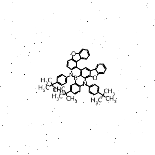 CC(C)(C)c1ccc(N2B3c4cc(C(C)(C)C)ccc4N(c4ccc(C(C)(C)C)cc4)c4c3c(cc3c4oc4ccccc43)-c3c2ccc2oc4ccccc4c32)cc1